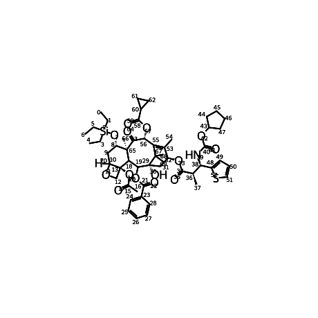 CC[Si](CC)(CC)O[C@H]1C[C@H]2OC[C@@]2(OC(C)=O)C2C(OC(=O)c3ccccc3)[C@]3(O)C[C@H](OC(=O)[C@H](C)[C@@H](NC(=O)OC4CCCC4)c4cccs4)C(C)=C([C@@H](OC(=O)C4CC4)C(=O)[C@@]21C)C3(C)C